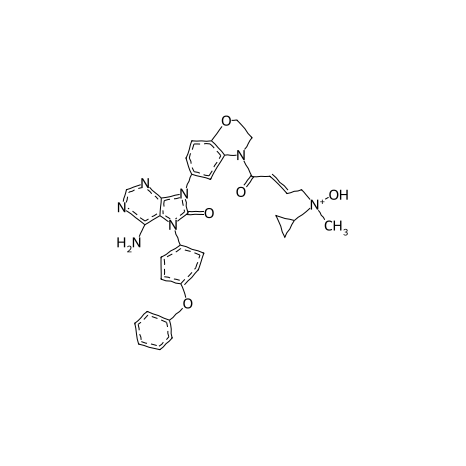 C[N+](O)(C/C=C/C(=O)N1CCOc2ccc(-n3c(=O)n(-c4ccc(Oc5ccccc5)cc4)c4c(N)ncnc43)cc21)C1CC1